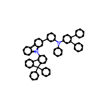 c1ccc(-c2ccc(N(c3ccccc3)c3cccc(-c4ccc5c6ccccc6n(-c6cccc7c6-c6ccccc6C7(c6ccccc6)c6ccccc6)c5c4)c3)cc2-c2ccccc2)cc1